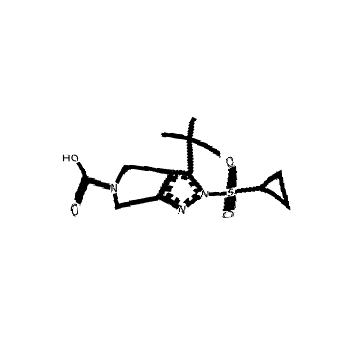 CC(C)(C)c1c2c(nn1S(=O)(=O)C1CC1)CN(C(=O)O)C2